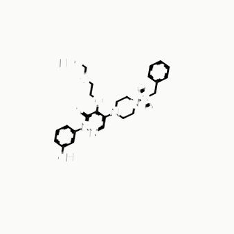 CCOCCOc1c(N2CCN(S(=O)(=O)Cc3ccccc3)CC2)cnn(-c2cccc(C)c2)c1=S